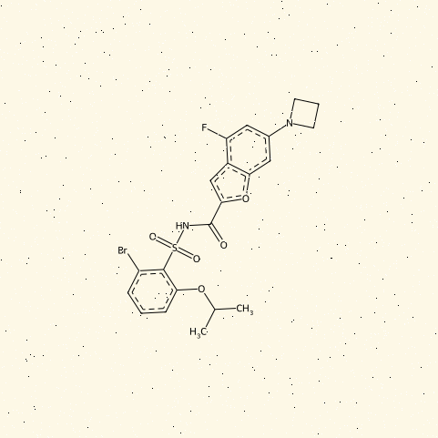 CC(C)Oc1cccc(Br)c1S(=O)(=O)NC(=O)c1cc2c(F)cc(N3CCC3)cc2o1